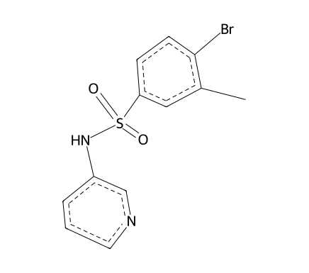 Cc1cc(S(=O)(=O)Nc2cccnc2)ccc1Br